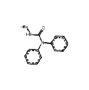 CCCCNC(=O)N(c1ccccc1)c1ccccc1